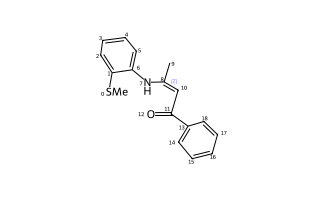 CSc1ccccc1N/C(C)=C\C(=O)c1ccccc1